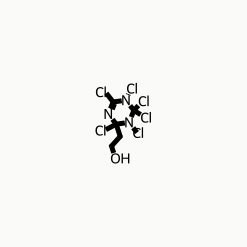 OCCC1(Cl)N=C(Cl)N(Cl)C(Cl)(Cl)N1Cl